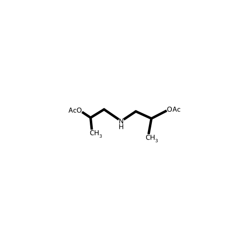 CC(=O)OC(C)CNCC(C)OC(C)=O